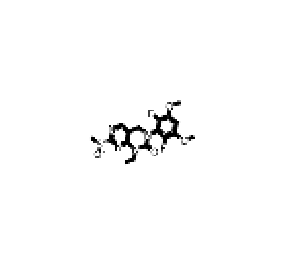 CCN1C(=O)N(c2c(F)c(OC)cc(OC)c2F)Cc2cnc([S+](C)[O-])nc21